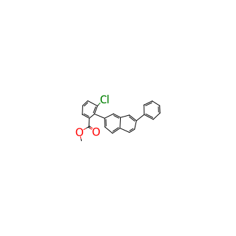 COC(=O)c1cccc(Cl)c1-c1ccc2ccc(-c3ccccc3)cc2c1